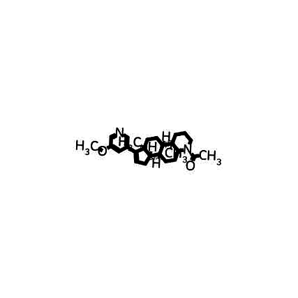 COc1cncc(C2=CC[C@H]3[C@@H]4CCC5N(C(C)=O)CCC[C@]5(C)[C@H]4CC[C@]23C)c1